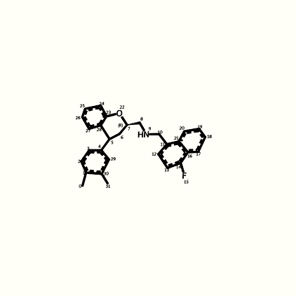 Cc1ccc(C2C[C@H](CNCc3ccc(F)c4ccccc34)Oc3ccccc32)cc1C